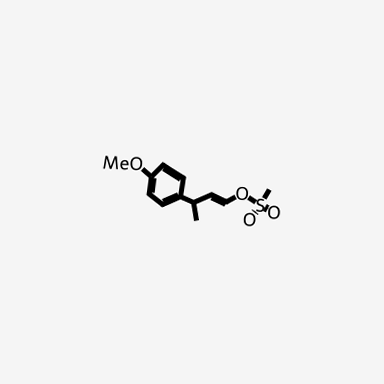 COc1ccc(C(C)C=COS(C)(=O)=O)cc1